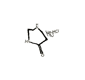 Cl.Cl.O=C1CNCN1